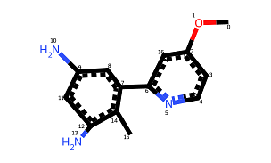 COc1ccnc(-c2cc(N)cc(N)c2C)c1